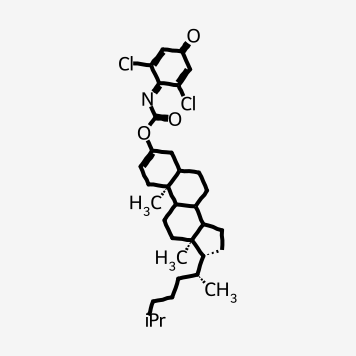 CC(C)CCC[C@@H](C)[C@H]1CCC2C3CCC4CC(OC(=O)N=C5C(Cl)=CC(=O)C=C5Cl)=CC[C@]4(C)C3CC[C@@]21C